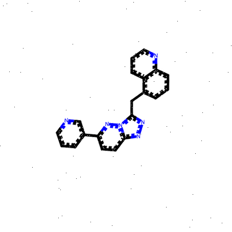 c1cncc(-c2ccc3nnc(Cc4cccc5ncccc45)n3n2)c1